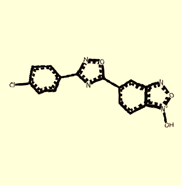 O[n+]1onc2cc(-c3nc(-c4ccc(Cl)cc4)no3)ccc21